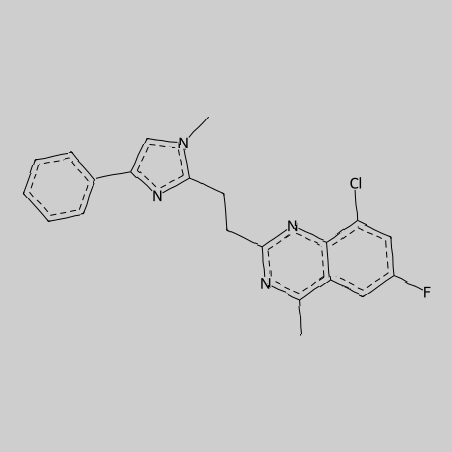 Cc1nc(CCc2nc(-c3ccccc3)cn2C)nc2c(Cl)cc(F)cc12